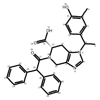 Cc1cc(C(C)n2cnc3c2C[C@@H](C(=O)O)N(C(=O)C(c2ccccc2)c2ccccc2)C3)ccc1O